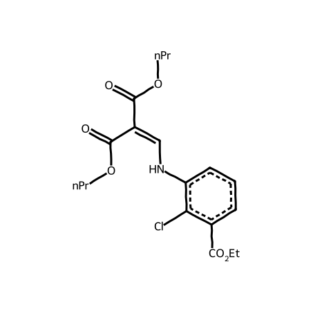 CCCOC(=O)C(=CNc1cccc(C(=O)OCC)c1Cl)C(=O)OCCC